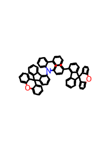 c1ccc(-c2ccccc2N(c2ccc(-c3cccc4c3-c3ccccc3C43c4ccccc4Oc4ccccc43)cc2)c2cccc3c2-c2ccccc2C32c3ccccc3Oc3ccccc32)cc1